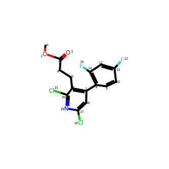 COC(=O)CCc1c(-c2ccc(F)cc2F)cc(Cl)nc1Cl